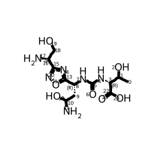 CC(O)[C@@H](NC(=O)N[C@H](CC(N)O)c1nc([C@@H](N)CO)no1)C(=O)O